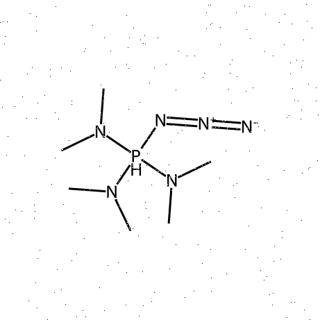 CN(C)[PH](N=[N+]=[N-])(N(C)C)N(C)C